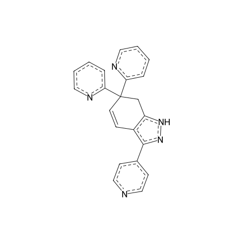 C1=CC(c2ccccn2)(c2ccccn2)Cc2[nH]nc(-c3ccncc3)c21